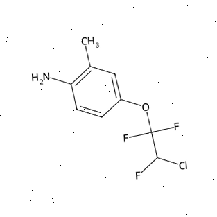 Cc1cc(OC(F)(F)C(F)Cl)ccc1N